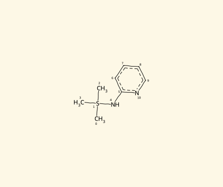 CS(C)(C)Nc1ccccn1